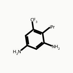 CC(C)c1c(N)cc(N)cc1C(F)(F)F